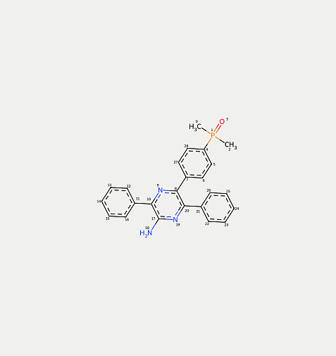 CP(C)(=O)c1ccc(-c2nc(-c3ccccc3)c(N)nc2-c2ccccc2)cc1